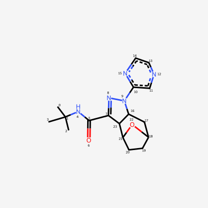 CC(C)(C)NC(=O)C1=NN(c2cnccn2)C2CC3CCC(O3)C12